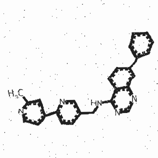 Cc1cc(-c2ccc(CNc3ncnc4cc(-c5ccccc5)ccc34)cn2)ccn1